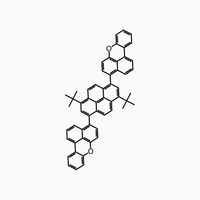 CC(C)(C)c1cc(-c2ccc3c4c(cccc24)-c2ccccc2O3)c2ccc3c(C(C)(C)C)cc(-c4ccc5c6c(cccc46)-c4ccccc4O5)c4ccc1c2c43